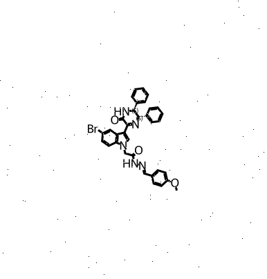 COc1ccc(C=NNC(=O)Cn2cc(C3=N[C@@H](c4ccccc4)[C@H](c4ccccc4)NC3=O)c3cc(Br)ccc32)cc1